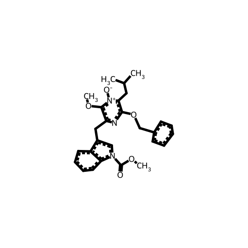 COC(=O)n1cc(Cc2nc(OCc3ccccc3)c(CC(C)C)[n+]([O-])c2OC)c2ccccc21